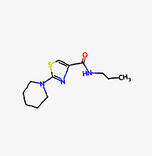 CCCNC(=O)c1csc(N2CCCCC2)n1